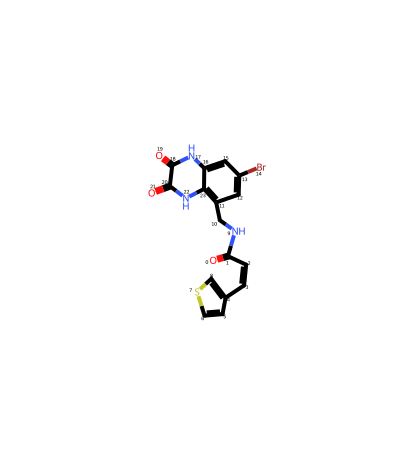 O=C(/C=C\c1ccsc1)NCc1cc(Br)cc2[nH]c(=O)c(=O)[nH]c12